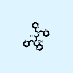 Oc1cccnc1CN(Cc1ccccn1)CC(O)CN(Cc1ccccn1)Cc1ccccn1